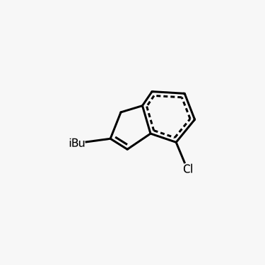 CCC(C)C1=Cc2c(Cl)cccc2C1